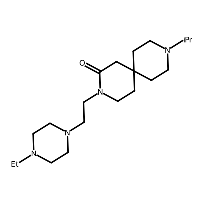 CCN1CCN(CCN2CCC3(CCN(C(C)C)CC3)CC2=O)CC1